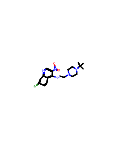 CC(C)(C)N1CCN(CCNc2c([N+](=O)[O-])cnc3cc(Br)ccc23)CC1